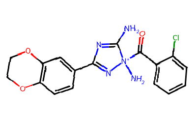 NC1=NC(c2ccc3c(c2)OCCO3)=N[N+]1(N)C(=O)c1ccccc1Cl